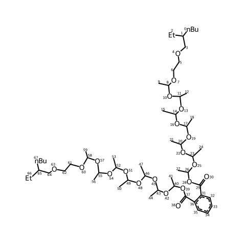 CCCCC(CC)COCCOC(C)OC(C)OC(C)OC(C)OC(C)OC(C)OC(C)OC(=O)c1ccccc1C(=O)OC(C)OC(C)OC(C)OC(C)OC(C)OC(C)OC(C)OCCOCC(CC)CCCC